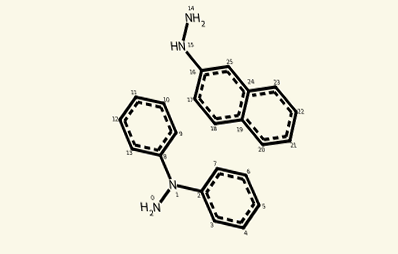 NN(c1ccccc1)c1ccccc1.NNc1ccc2ccccc2c1